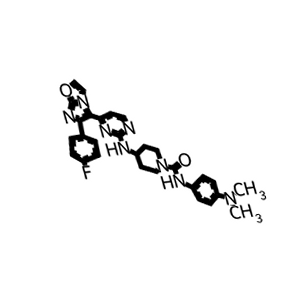 CN(C)c1ccc(NC(=O)N2CCC(Nc3nccc(-c4c(-c5ccc(F)cc5)nc5occn45)n3)CC2)cc1